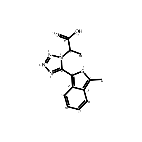 Cc1sc(-c2nnnn2C(C)C(=O)O)c2ccccc12